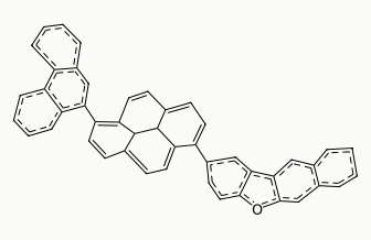 C1=CC2=C(c3cc4ccccc4c4ccccc34)C=CC3=CC=C4C(c5ccc6oc7cc8ccccc8cc7c6c5)=CC=C1C4C32